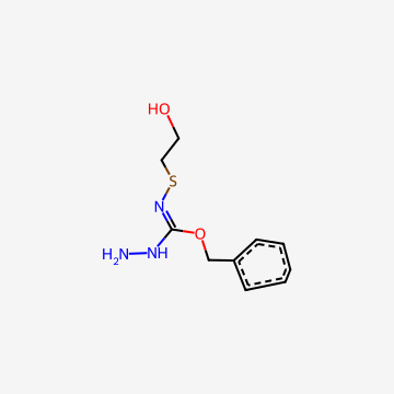 NN/C(=N/SCCO)OCc1ccccc1